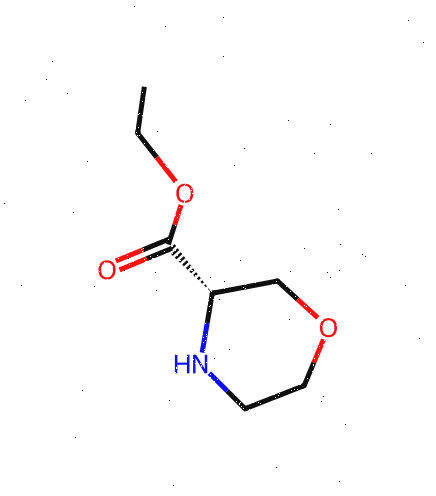 CCOC(=O)[C@@H]1COCCN1